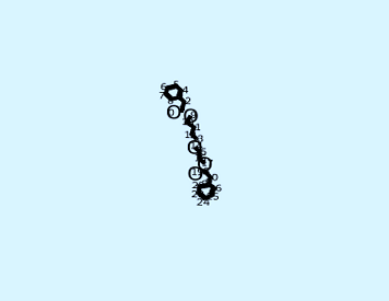 O=C(Cc1ccccc1)OCCCCOCCOC(=O)Cc1ccccc1